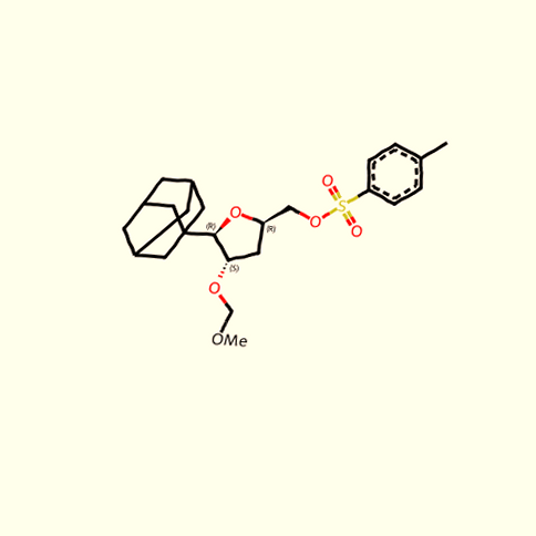 COCO[C@H]1C[C@H](COS(=O)(=O)c2ccc(C)cc2)O[C@@H]1C12CC3CC(CC(C3)C1)C2